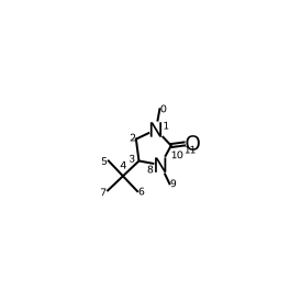 CN1CC(C(C)(C)C)N(C)C1=O